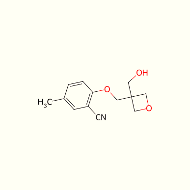 Cc1ccc(OCC2(CO)COC2)c(C#N)c1